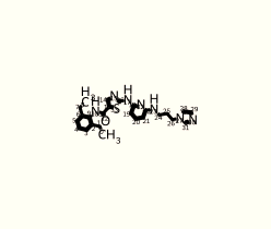 CCc1cccc(CC)c1NC(=O)c1cnc(Nc2cccc(NCCCn3ccnc3)n2)s1